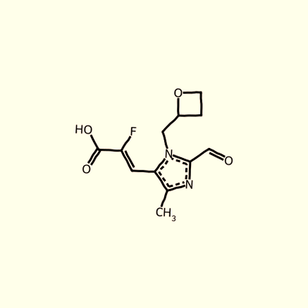 Cc1nc(C=O)n(CC2CCO2)c1/C=C(\F)C(=O)O